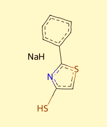 Sc1csc(-c2ccccc2)n1.[NaH]